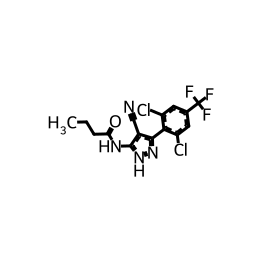 CCCC(=O)Nc1[nH]nc(-c2c(Cl)cc(C(F)(F)F)cc2Cl)c1C#N